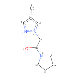 CCc1cnn(CC(=O)N2CCCC2)c1